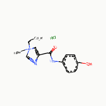 CCCC[N+]1(CC(=O)O)C=NC(C(=O)Nc2ccc(O)cc2)=C1.Cl